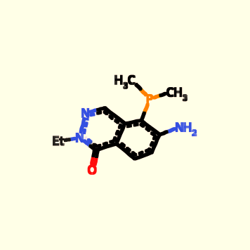 CCn1ncc2c(P(C)C)c(N)ccc2c1=O